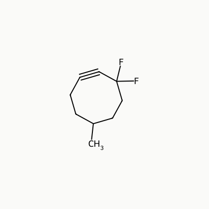 CC1CCC#CC(F)(F)CC1